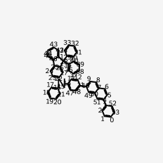 c1ccc(-c2ccc3ccc(-c4ccc(N(c5ccccc5)c5ccc6c(c5)C(c5ccccc5)(c5ccccc5)c5ccccc5-6)cc4)cc3c2)cc1